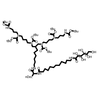 CCCCCCCCCCC(NC(=O)CCCCCCCCCCCNC(=O)[C@@H](O)[C@H](O)[C@@H](O)[C@H](O)CO)C(=O)NCCCCCCC(CN(CCCCN(CCCNC(=O)OC(C)(C)C)C(=O)OC(C)(C)C)C(=O)OC(C)(C)C)CN(CCCCN(CCCNC(=O)OC(C)(C)C)C(=O)OC(C)(C)C)C(=O)OC(C)(C)C